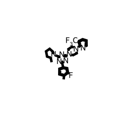 Cc1ccc(-c2nc(N3CCN(c4ncccc4C(F)(F)F)CC3)nc(N3CCCCC3C)n2)cc1F